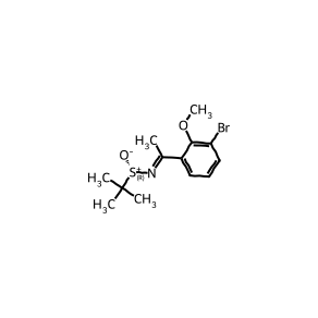 COc1c(Br)cccc1C(C)=N[S@@+]([O-])C(C)(C)C